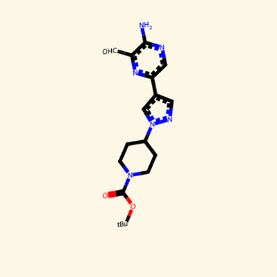 CC(C)(C)OC(=O)N1CCC(n2cc(-c3cnc(N)c(C=O)n3)cn2)CC1